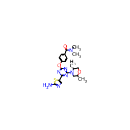 CC1CN(c2nc(Oc3ccc(C(=O)N(C)C)cc3)nc(-c3cnc(N)s3)n2)C(C)CO1